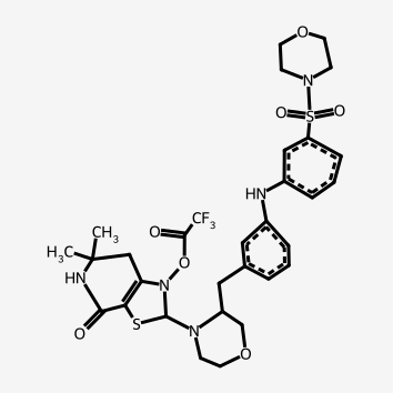 CC1(C)CC2=C(SC(N3CCOCC3Cc3cccc(Nc4cccc(S(=O)(=O)N5CCOCC5)c4)c3)N2OC(=O)C(F)(F)F)C(=O)N1